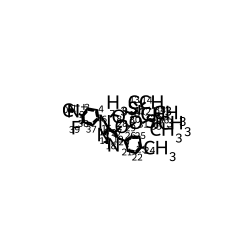 [C-]#[N+]c1ccc(N(COCC[Si](C)(C)C)c2ncnc(-c3ccc(C)cc3)c2OCOCC[Si](C)(C)C)cc1F